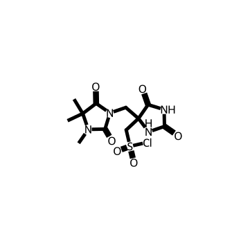 CN1C(=O)N(CC2(CS(=O)(=O)Cl)NC(=O)NC2=O)C(=O)C1(C)C